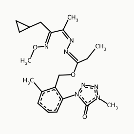 CCC(=NN=C(C)C(CC1CC1)=NOC)OCc1c(C)cccc1-n1nnn(C)c1=O